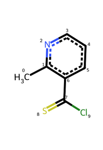 Cc1ncccc1C(=S)Cl